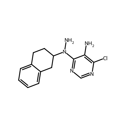 Nc1c(Cl)ncnc1N(N)C1CCc2ccccc2C1